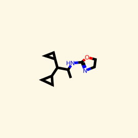 CC(NC1=NCCO1)C(C1CC1)C1CC1